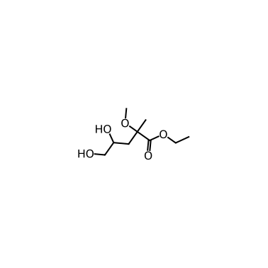 CCOC(=O)C(C)(CC(O)CO)OC